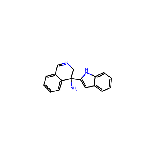 NC1(c2cc3ccccc3[nH]2)CN=Cc2ccccc21